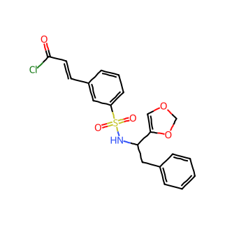 O=C(Cl)C=Cc1cccc(S(=O)(=O)NC(Cc2ccccc2)C2=COCO2)c1